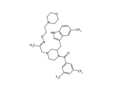 CC(CN1CCN(C(=O)c2cc(C(F)(F)F)cc(C(F)(F)F)c2)C(Cc2c[nH]c3ccc(C)cc23)C1)=NOCCN1CCOCC1